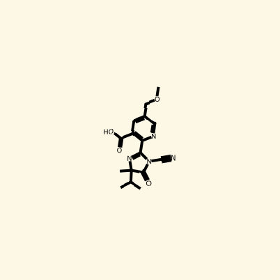 COCc1cnc(C2=NC(C)(C(C)C)C(=O)N2C#N)c(C(=O)O)c1